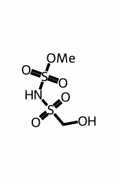 COS(=O)(=O)NS(=O)(=O)CO